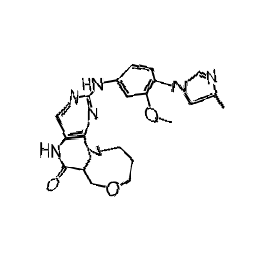 COc1cc(Nc2ncc3c(n2)N2CCCOCC2C(=O)N3)ccc1-n1cnc(C)c1